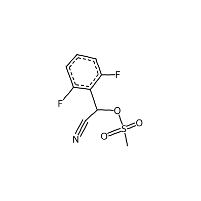 CS(=O)(=O)OC(C#N)c1c(F)cccc1F